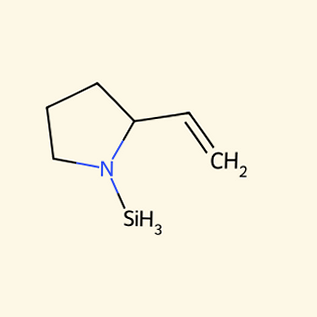 C=CC1CCCN1[SiH3]